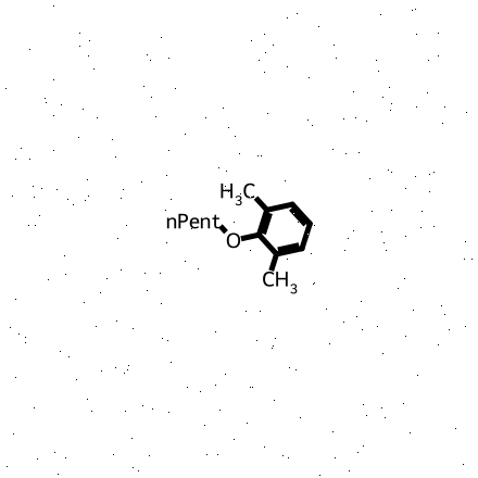 [CH2]CCCCOc1c(C)cccc1C